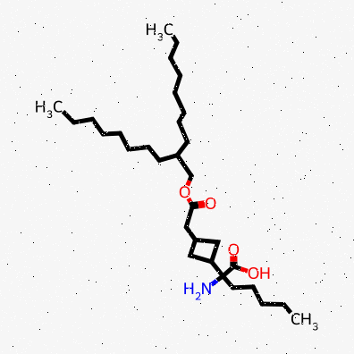 CCCCCCCCC(CCCCCCCC)COC(=O)CC1CC(C(N)(CCCCC)C(=O)O)C1